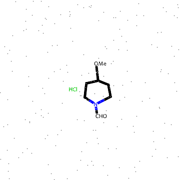 COC1CCN(C=O)CC1.Cl